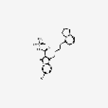 CS(=O)(=O)NC(=O)c1[nH]c2cc(Cl)ccc2c1CCCOc1cccc2c1CCC2